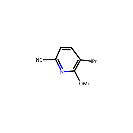 COc1nc(C#N)ccc1C(C)C